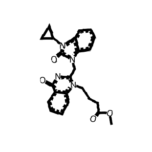 COC(=O)CCCn1c(Cn2c(=O)n(C3CC3)c3ccccc32)nc(=O)c2ccccc21